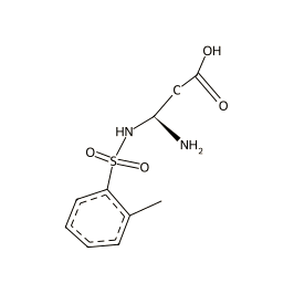 Cc1ccccc1S(=O)(=O)N[C@H](N)CC(=O)O